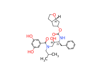 CC(C)CN(C[C@@H](O)[C@H](Cc1ccccc1)NC(=O)OC1CC2CCO[C@@H]2C1)C(=O)c1cc(O)cc(O)c1